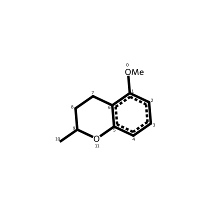 COc1cccc2c1CCC(C)O2